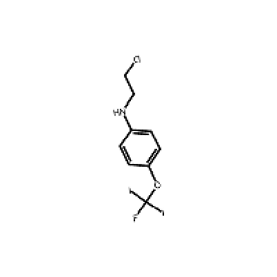 FC(I)(I)Oc1ccc(NCCCl)cc1